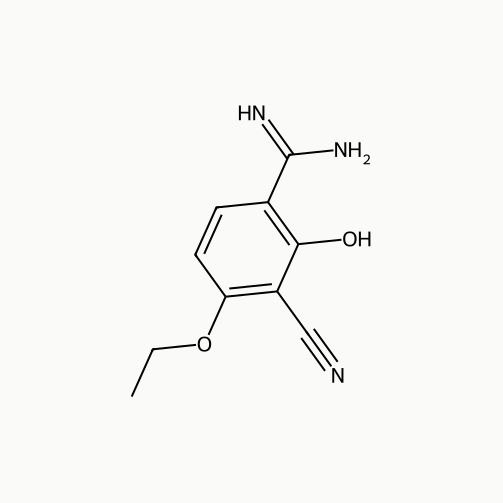 CCOc1ccc(C(=N)N)c(O)c1C#N